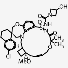 CO[C@H]1C=CCOC(C)(C)C(=O)N=[S@@](=O)(NC(=O)N2CC(O)C2)c2ccc3c(c2)N(C[C@@H]2CC[C@H]21)C[C@@]1(CCCc2cc(Cl)ccc21)CO3